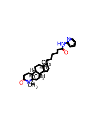 CN1C(=O)CC[C@]2(C)[C@H]3CC[C@]4(C)[C@@H](CCCCCC(=O)Nc5ccccn5)CC[C@H]4[C@@H]3CC[C@@H]12